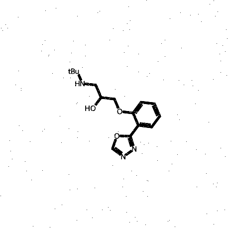 CC(C)(C)NCC(O)COc1ccccc1-c1nnco1